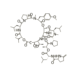 C=C1CCC(C(=O)N[C@H](CC(C)C)C(=O)O[C@@H](C)C(=O)N2CCC[C@H]2C(=O)N(C)[C@H](CC(C)C)C(=O)N[C@H]2C(=O)N[C@@H]([C@@H](C)CC)[C@@H](O)CC(=O)O[C@@H](C(C)C)C(=O)N[C@@H](CC(C)C)C(=O)N3CCC[C@H]3C(=O)N(C)[C@@H](Cc3ccc(OC)cc3)C(=O)O[C@H]2C)N1